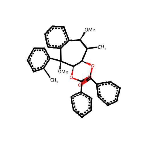 CO[C@@H]1c2ccccc2[C@@](OC)(c2ccccc2C)[C@H](OC(=O)c2ccccc2)[C@H](OC(=O)c2ccccc2)C1C